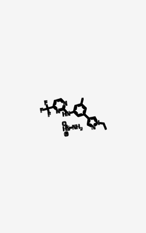 CCn1cc(-c2cc(C)cc(Nc3nccc(C(F)(F)F)n3)c2)cn1.N[SH](=O)=O